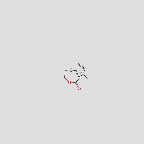 C=C[SiH2]C.O=C1CCCCCO1